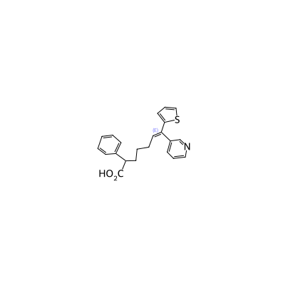 O=C(O)C(CCC/C=C(\c1cccnc1)c1cccs1)c1ccccc1